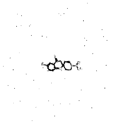 CB(O)N1CCC2(CC1)CC(=O)c1cc(Br)ccc1O2